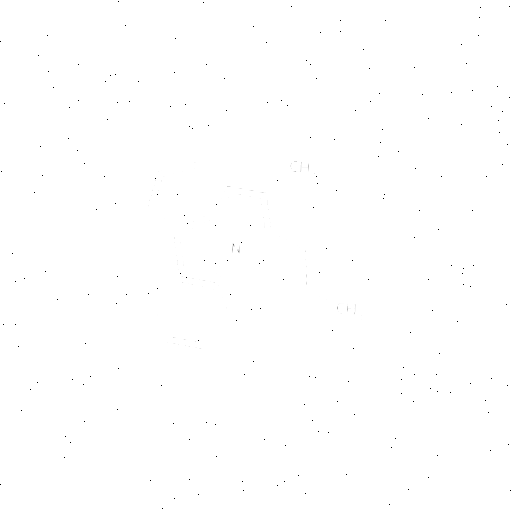 CCCc1c(C)c2cccc3c4ccccc4n1c23